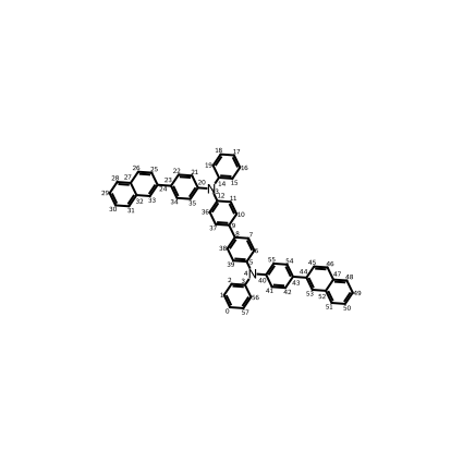 c1ccc(N(c2ccc(-c3ccc(N(c4ccccc4)c4ccc(-c5ccc6ccccc6c5)cc4)cc3)cc2)c2ccc(-c3ccc4ccccc4c3)cc2)cc1